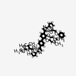 COCCOc1c(-c2ccc(-c3cnc([C@@H]4CCCN4C(=O)[C@@H](NC(=O)OC)C(C)C)[nH]3)cc2)ccc(-c2cnc([C@@H]3CCCN3C(=O)COc3ccccc3)[nH]2)c1OCCOC